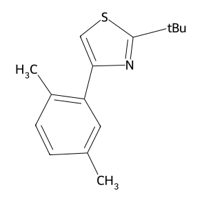 Cc1ccc(C)c(-c2csc(C(C)(C)C)n2)c1